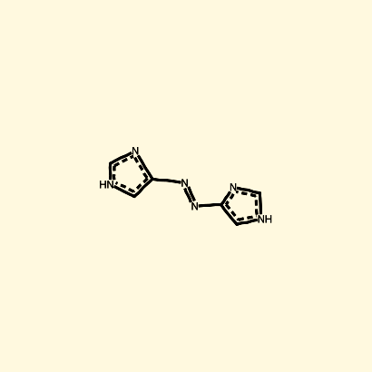 c1nc(/N=N/c2c[nH]cn2)c[nH]1